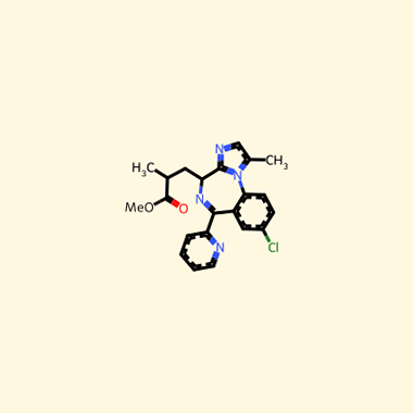 COC(=O)C(C)CC1N=C(c2ccccn2)c2cc(Cl)ccc2-n2c(C)cnc21